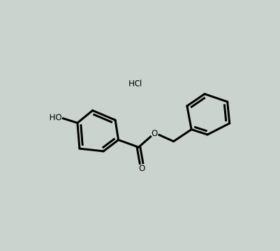 Cl.O=C(OCc1ccccc1)c1ccc(O)cc1